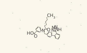 CCCCCCC(=O)N(Cc1ccc(-c2ccccc2-c2nnn[nH]2)cc1)c1cccc(C(=O)O)c1